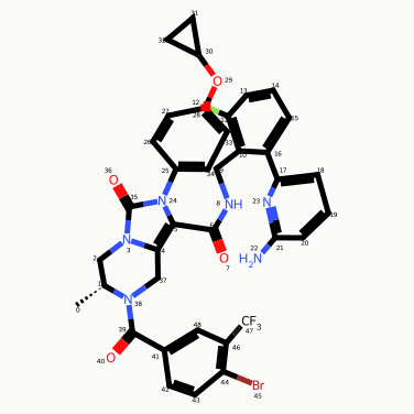 C[C@@H]1Cn2c(c(C(=O)NCc3c(F)cccc3-c3cccc(N)n3)n(-c3ccc(OC4CC4)cc3)c2=O)CN1C(=O)c1ccc(Br)c(C(F)(F)F)c1